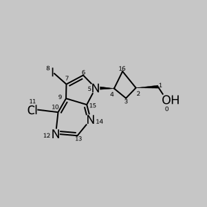 OC[C@H]1C[C@@H](n2cc(I)c3c(Cl)ncnc32)C1